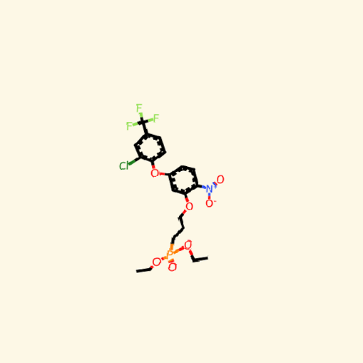 CCOP(=O)(CCCOc1cc(Oc2ccc(C(F)(F)F)cc2Cl)ccc1[N+](=O)[O-])OCC